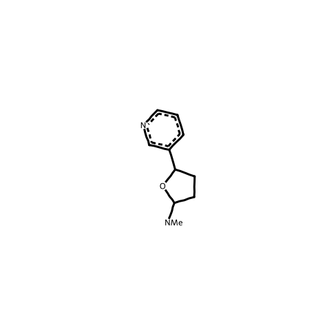 CNC1CCC(c2cccnc2)O1